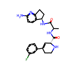 CC(NC(=O)[C@H]1C=C(c2cccc(F)c2)CCN1)C(=O)N[C@@H]1CCc2nc(N)ccc21